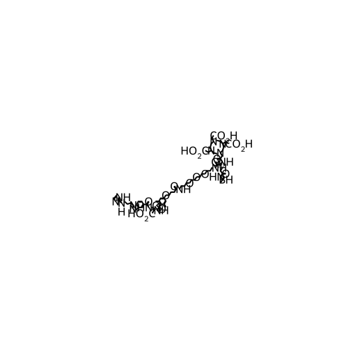 CBNC(=O)CC[C@@H](NC(=O)CN1CCN(CC(=O)O)CCN(CC(=O)O)CCN(CC(=O)O)CC1)C(=O)NCCCOCCOCCOCCCNC(=O)CCCOc1cc(C)c(S(=O)(=O)NC(CNC(=O)c2ccc3c(cnn3CCCNc3ncc[nH]3)c2)C(=O)O)c(C)c1